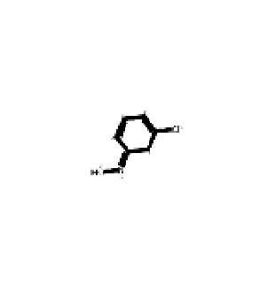 ON=C1[C]=CC=C(Cl)C1